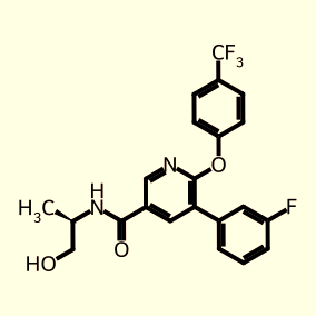 C[C@H](CO)NC(=O)c1cnc(Oc2ccc(C(F)(F)F)cc2)c(-c2cccc(F)c2)c1